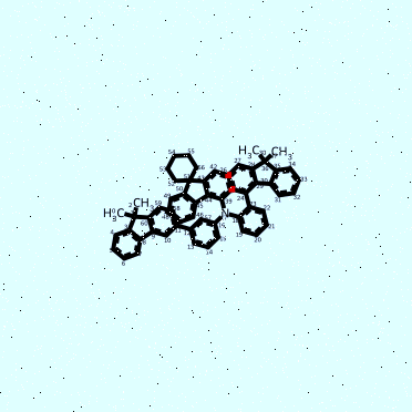 CC1(C)c2ccccc2-c2cc(-c3cccc(N(c4ccccc4-c4cccc5c4-c4ccccc4C5(C)C)c4cccc5c4-c4ccccc4C54CCCCC4)c3)ccc21